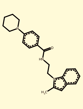 Cc1cc2ccccc2n1CCNC(=O)c1ccc(N2CCCCC2)cc1